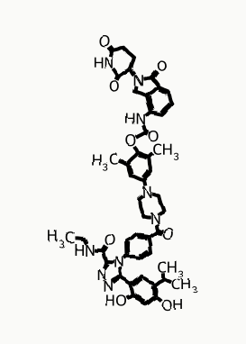 CCNC(=O)c1nnc(-c2cc(C(C)C)c(O)cc2O)n1-c1ccc(C(=O)N2CCN(c3cc(C)c(OC(=O)Nc4cccc5c4CN(C4CCC(=O)NC4=O)C5=O)c(C)c3)CC2)cc1